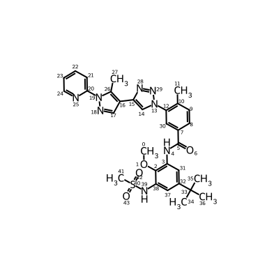 COc1c(NC(=O)c2ccc(C)c(-n3cc(-c4cnn(-c5ccccn5)c4C)nn3)c2)cc(C(C)(C)C)cc1NS(C)(=O)=O